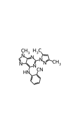 Cc1cc(C)n(-c2nc(Nc3ccccc3C#N)c3ncn(C)c3n2)n1